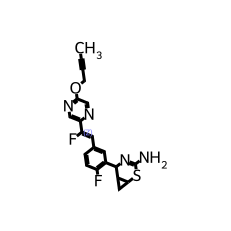 CC#CCOc1cnc(/C(F)=C/c2ccc(F)c(C3N=C(N)SC4CC43)c2)cn1